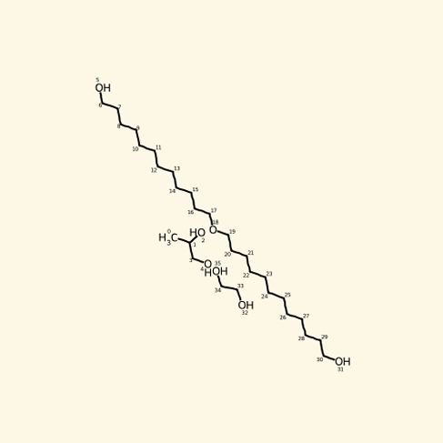 CC(O)CO.OCCCCCCCCCCCCOCCCCCCCCCCCCO.OCCO